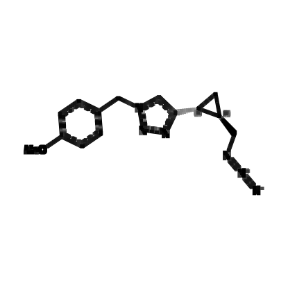 COc1ccc(Cn2cc([C@@H]3C[C@H]3CN=[N+]=[N-])nn2)cc1